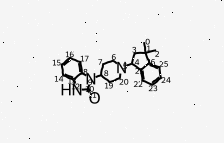 CC1(C)CC(N2CCC(n3c(=O)[nH]c4ccccc43)CC2)c2ccccc21